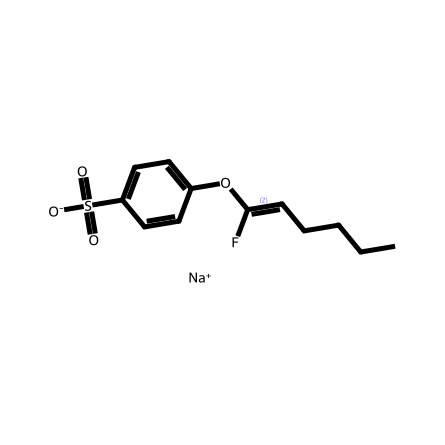 CCCC/C=C(\F)Oc1ccc(S(=O)(=O)[O-])cc1.[Na+]